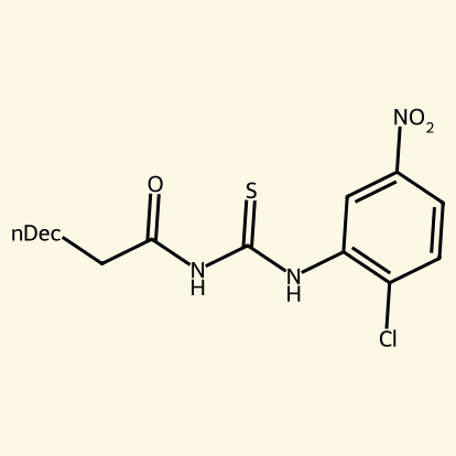 CCCCCCCCCCCC(=O)NC(=S)Nc1cc([N+](=O)[O-])ccc1Cl